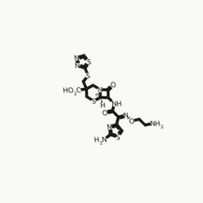 NCCON=C(C(=O)NC1C(=O)N2CC(CSc3nncs3)(C(=O)O)CS[C@H]12)c1csc(N)n1